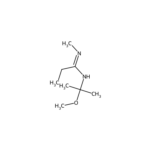 CC/C(=N\C)NC(C)(C)OC